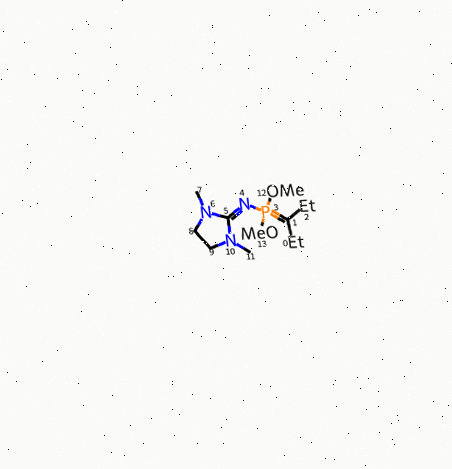 CCC(CC)=P(N=C1N(C)CCN1C)(OC)OC